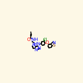 CC#CC(=O)NCCn1ccc2ncnc(Nc3ccc(Oc4cccc5sncc45)c(Cl)c3)c21